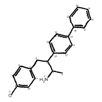 CC(N)C(Cc1ccc(Cl)cc1)c1ccc(-c2ccccc2)cc1